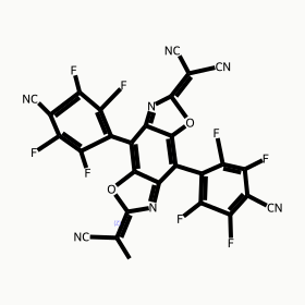 C/C(C#N)=c1\nc2c(-c3c(F)c(F)c(C#N)c(F)c3F)c3oc(=C(C#N)C#N)nc3c(-c3c(F)c(F)c(C#N)c(F)c3F)c2o1